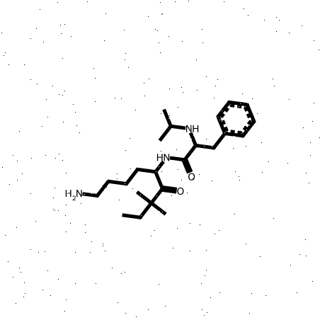 CCC(C)(C)C(=O)C(CCCCN)NC(=O)C(Cc1ccccc1)NC(C)C